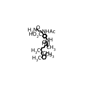 CC(=O)NC(CCC(N)=O)(C(=O)O)c1ccc(NC(=O)C=C(C)C=CC=C(C)C=CC2=C(C)CCCC2(C)C)cc1.Cl